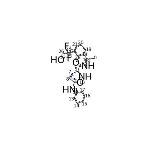 C[C@@H](NC(=O)C(=N)/C=C\C(=O)Nc1ccccc1)c1cccc(C(F)(F)CO)c1